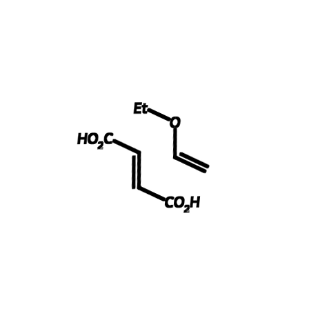 C=COCC.O=C(O)C=CC(=O)O